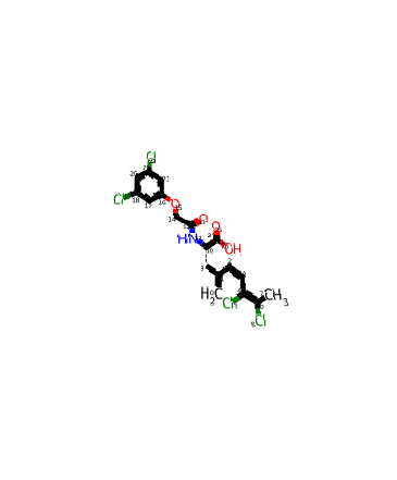 C=C(/C=C\C(Cl)=C(/C)Cl)C[C@H](NC(=O)COc1cc(Cl)cc(Cl)c1)C(=O)O